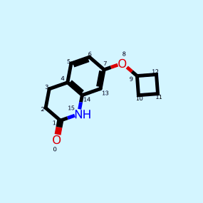 O=C1CCc2ccc(OC3CCC3)cc2N1